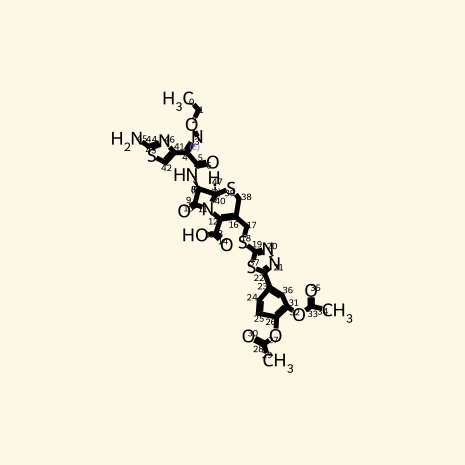 CCO/N=C(/C(=O)N[C@@H]1C(=O)N2C(C(=O)O)=C(CSc3nnc(-c4ccc(OC(C)=O)c(OC(C)=O)c4)s3)CS[C@H]12)c1csc(N)n1